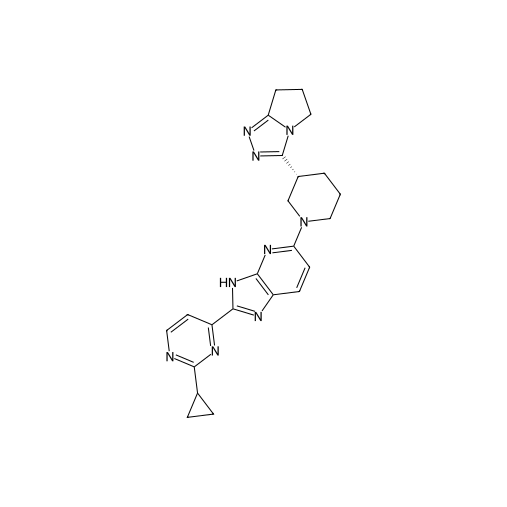 c1cc(-c2nc3ccc(N4CCC[C@@H](c5nnc6n5CCC6)C4)nc3[nH]2)nc(C2CC2)n1